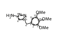 COc1cc(Cn2cc(N)nn2)cc(OC)c1OC